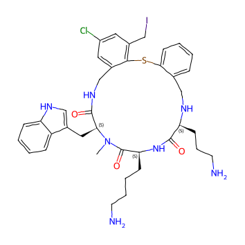 CN1C(=O)[C@H](CCCCN)NC(=O)[C@H](CCCN)NCc2ccccc2Sc2c(CI)cc(Cl)cc2CNC(=O)[C@@H]1Cc1c[nH]c2ccccc12